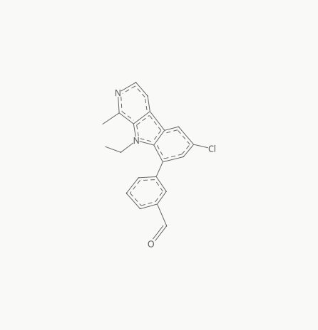 CCn1c2c(-c3cccc(C=O)c3)cc(Cl)cc2c2ccnc(C)c21